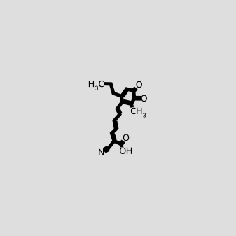 CCCC1=CC(=O)C(=O)C(C)=C1C=CC=CC=C(C#N)C(=O)O